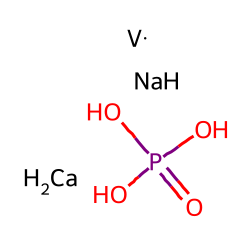 O=P(O)(O)O.[CaH2].[NaH].[V]